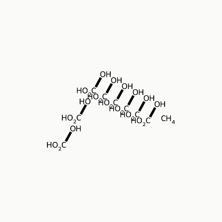 C.O=C(O)O.O=C(O)O.O=C(O)O.O=C(O)O.O=C(O)O.O=C(O)O.O=C(O)O.O=C(O)O